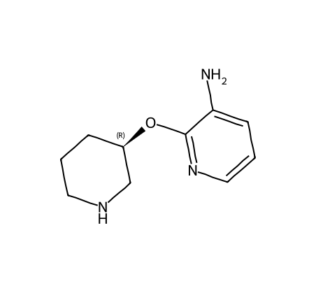 Nc1cccnc1O[C@@H]1CCCNC1